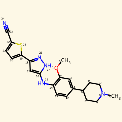 COc1cc(C2CCN(C)CC2)ccc1Nc1cc(-c2ccc(C#N)s2)n[nH]1